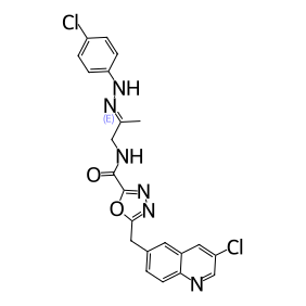 C/C(CNC(=O)c1nnc(Cc2ccc3ncc(Cl)cc3c2)o1)=N\Nc1ccc(Cl)cc1